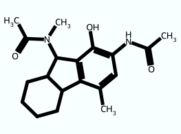 CC(=O)Nc1cc(C)c2c(c1O)C(N(C)C(C)=O)C1CCCCC21